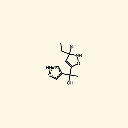 CCC1(Br)C=C(C(C)(O)c2cn[nH]c2)ON1